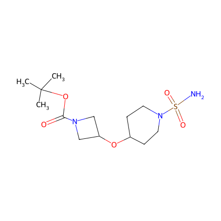 CC(C)(C)OC(=O)N1CC(OC2CCN(S(N)(=O)=O)CC2)C1